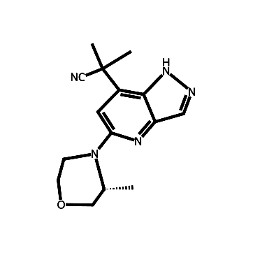 C[C@@H]1COCCN1c1cc(C(C)(C)C#N)c2[nH]ncc2n1